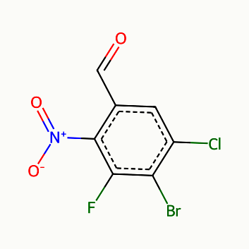 O=Cc1cc(Cl)c(Br)c(F)c1[N+](=O)[O-]